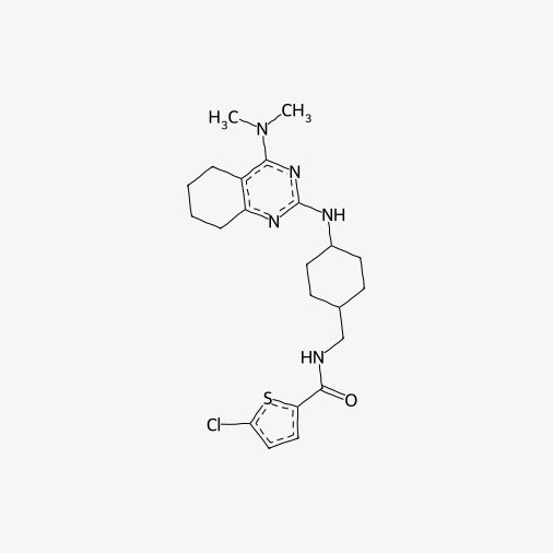 CN(C)c1nc(NC2CCC(CNC(=O)c3ccc(Cl)s3)CC2)nc2c1CCCC2